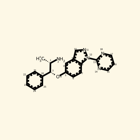 C[C@H](N)[C@H](Oc1ccc2c(cnn2-c2ncccn2)c1)c1ccccc1